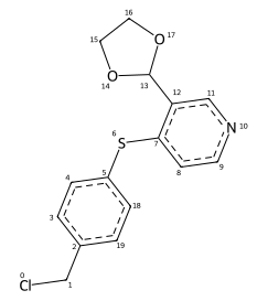 ClCc1ccc(Sc2ccncc2C2OCCO2)cc1